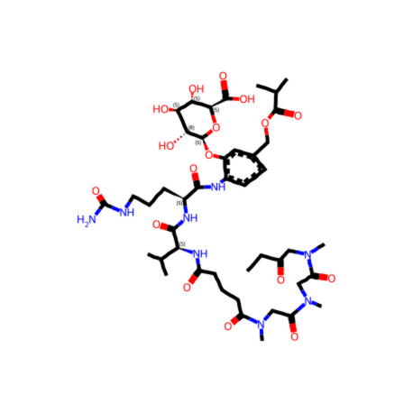 CCC(=O)CN(C)C(=O)CN(C)C(=O)CN(C)C(=O)CCCC(=O)N[C@H](C(=O)N[C@@H](CCCNC(N)=O)C(=O)Nc1ccc(COC(=O)C(C)C)cc1O[C@@H]1O[C@H](C(=O)O)[C@@H](O)[C@H](O)[C@H]1O)C(C)C